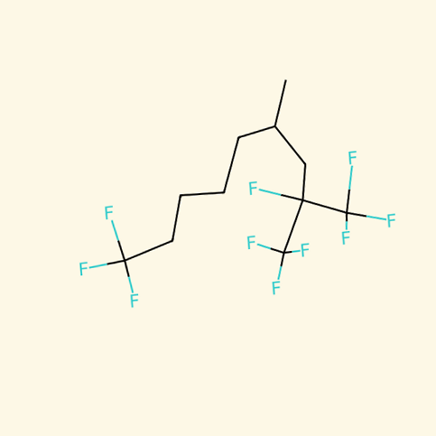 CC(CCCCC(F)(F)F)CC(F)(C(F)(F)F)C(F)(F)F